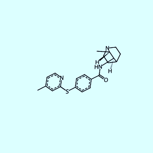 Cc1ccnc(Sc2ccc(C(=O)N[C@@H]3C4CCN(CC4)[C@H]3C)cc2)c1